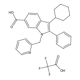 O=C(O)C(F)(F)F.O=C(O)c1ccc2c(C3CCCCC3)c(-c3ccccc3)n(Cc3ccccn3)c2c1